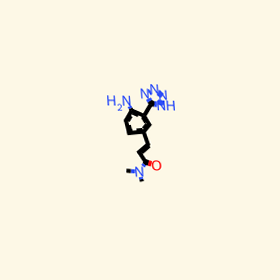 CN(C)C(=O)C=Cc1ccc(N)c(-c2nnn[nH]2)c1